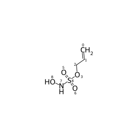 C=CCOS(=O)(=O)NO